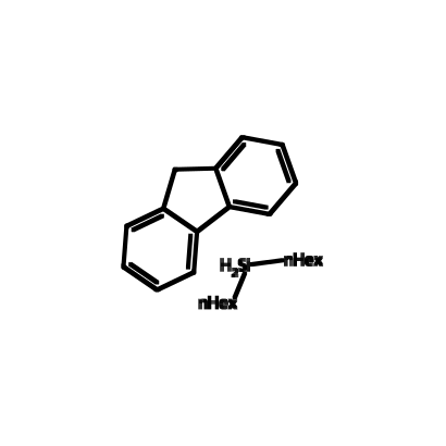 CCCCCC[SiH2]CCCCCC.c1ccc2c(c1)Cc1ccccc1-2